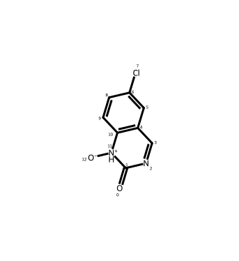 O=C1N=Cc2cc(Cl)ccc2[NH+]1[O-]